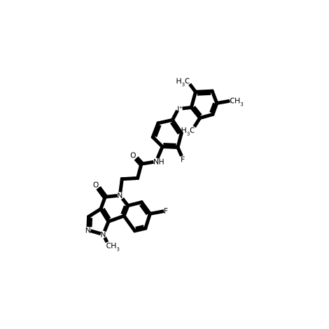 Cc1cc(C)c([I+]c2ccc(NC(=O)CCn3c(=O)c4cnn(C)c4c4ccc(F)cc43)c(F)c2)c(C)c1